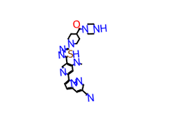 CNc1cc(-c2ccc3cc(C#N)cnn23)ncc1-c1nnc(N2CCC(C(=O)N3CCNCC3)CC2)s1